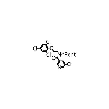 CCCCCN(CCOc1c(Cl)cc(Cl)cc1Cl)C(=O)c1cncc(Cl)c1